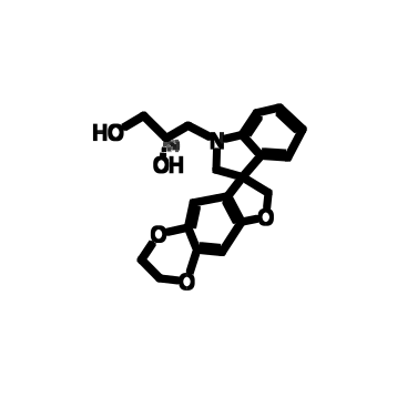 OC[C@@H](O)CN1CC2(COc3cc4c(cc32)OCCO4)c2ccccc21